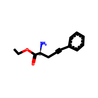 CCOC(=O)[C@H](N)CC#Cc1ccccc1